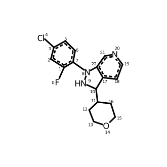 Fc1cc(Cl)ccc1N1NC(C2CCOCC2)c2ccncc21